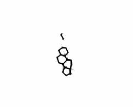 C[C@]12CC[C@H](OCCO)CC1CC[C@@H]1[C@@H]2CC[C@]2(C)C(=O)CC[C@@H]12